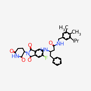 Cc1cc(CNC(=O)CC(Cc2ccccc2)Nc2cc3c(cc2F)C(=O)N(C2CCC(=O)NC2=O)C3=O)cc(C(C)C)c1C